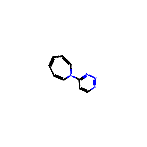 [C]1=CC=CC=CN1c1ccnnn1